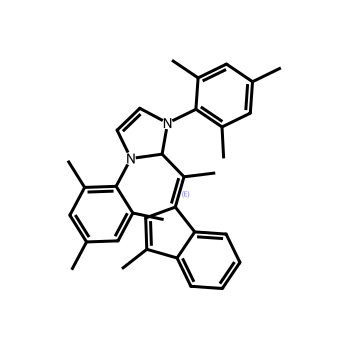 CC1=C/C(=C(/C)C2N(c3c(C)cc(C)cc3C)C=CN2c2c(C)cc(C)cc2C)c2ccccc21